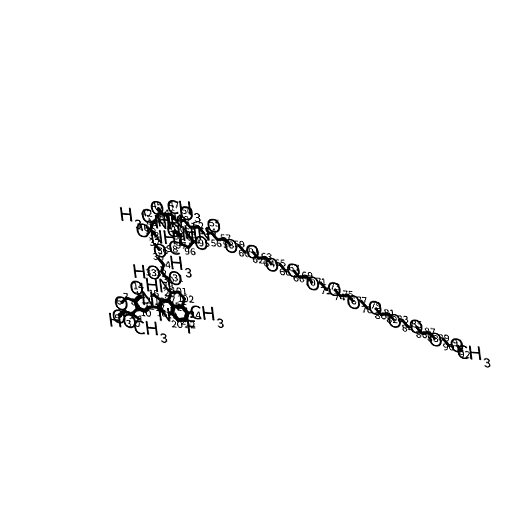 CC[C@@]1(O)C(=O)OCc2c1cc1n(c2=O)Cc2c-1nc1cc(F)c(C)c3c1c2[C@@H](NC(=O)[C@H](O)CCOCNC(=O)[C@H](C)NC(=O)[C@H](C)NC(=O)C(CNC(=O)CCOCCOCCOCCOCCOCCOCCOCCOCCOCCOCCOCCOC)N1C(=O)CC(C)C1=O)CC3